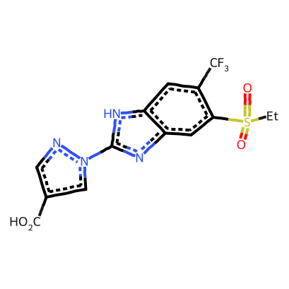 CCS(=O)(=O)c1cc2nc(-n3cc(C(=O)O)cn3)[nH]c2cc1C(F)(F)F